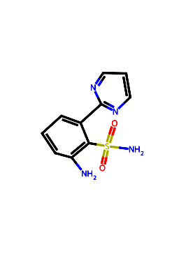 Nc1cccc(-c2ncccn2)c1S(N)(=O)=O